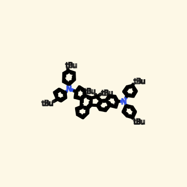 CC(C)(C)c1ccc(N(c2ccc(C(C)(C)C)cc2)c2ccc3c4c(ccc3c2)-c2c(c3ccc(N(c5ccc(C(C)(C)C)cc5)c5ccc(C(C)(C)C)cc5)cc3c3ccccc23)C4(C(C)(C)C)C(C)(C)C)cc1